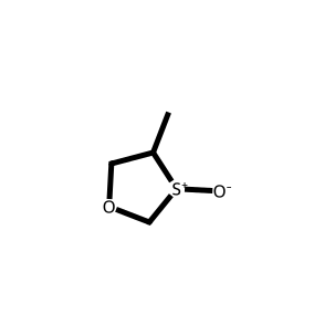 CC1COC[S+]1[O-]